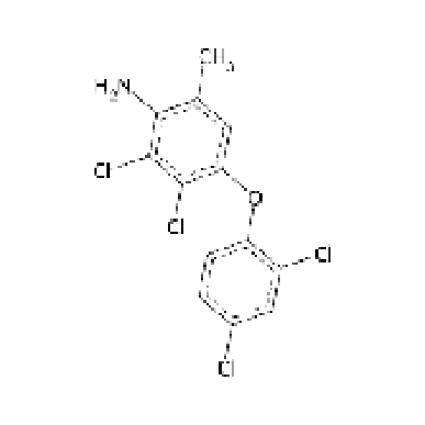 Cc1cc(Oc2ccc(Cl)cc2Cl)c(Cl)c(Cl)c1N